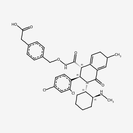 CN[C@H]1CCCC[C@@H]1N1C(=O)C2=CC(C)CC=C2[C@@H](C(=O)NOCc2ccc(CC(=O)O)cc2)[C@@H]1c1ccc(Cl)cc1Cl